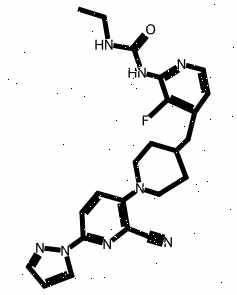 CCNC(=O)Nc1nccc(CC2CCN(c3ccc(-n4cccn4)nc3C#N)CC2)c1F